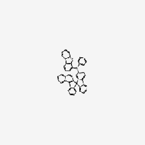 C1=CC2Sc3c(cccc3N(c3ccccc3)c3ccc4c(c3)C3(c5ccccc5-4)c4ccccc4-c4c3ccc3ccccc43)C2C=C1